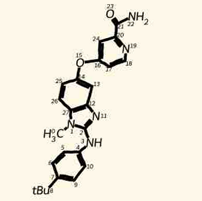 Cn1c(Nc2ccc(C(C)(C)C)cc2)nc2cc(Oc3ccnc(C(N)=O)c3)ccc21